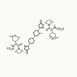 Cc1cc(-c2ccc(-c3c[nH]c([C@@H]4CC[C@H](C)N4C(=O)[C@H](C4C[C@@H](C)O[C@H](C)C4)N(C)C(=O)O)n3)cc2)ccc1-c1c[nH]c([C@@H]2CC[C@H](C)N2C(=O)[C@H](C2C[C@@H](C)O[C@H](C)C2)N(C)C(=O)O)n1